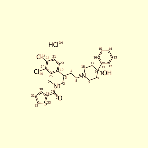 CN(CC(CCN1CCC(O)(c2ccccc2)CC1)c1ccc(Cl)c(Cl)c1)C(=O)c1cccs1.Cl